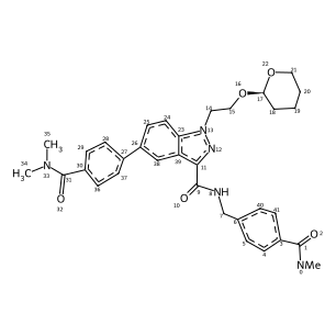 CNC(=O)c1ccc(CNC(=O)c2nn(CCO[C@@H]3CCCCO3)c3ccc(-c4ccc(C(=O)N(C)C)cc4)cc23)cc1